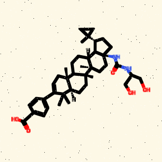 CC1([C@@H]2CC[C@]3(NC(=O)NC(CO)CO)CC[C@]4(C)[C@H](CCC5[C@@]6(C)CC=C(c7ccc(C(=O)O)cc7)C(C)(C)[C@@H]6CC[C@]54C)C23)CC1